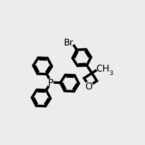 CC1(c2ccc(Br)cc2)COC1.c1ccc(P(c2ccccc2)c2ccccc2)cc1